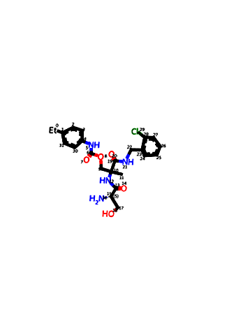 CCc1ccc(NC(=O)OCC(C)(NC(=O)[C@@H](N)CO)C(=O)NCc2ccccc2Cl)cc1